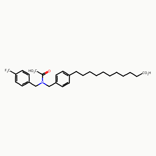 O=C(O)CCCCCCCCCCc1ccc(CN(Cc2ccc(C(F)(F)F)cc2)C(=O)C(=O)O)cc1